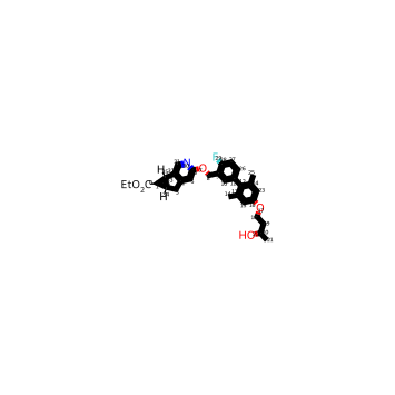 CCOC(=O)[C@H]1[C@@H]2Cc3cc(OCc4cc(-c5c(C)cc(OCCC(C)O)cc5C)ccc4F)ncc3[C@@H]21